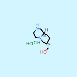 Cl.Cl.OC[C@H]1CC[C@H]2CNCCN2C1